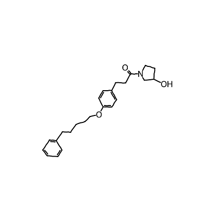 O=C(CCc1ccc(OCCCCCc2ccccc2)cc1)N1CCC(O)C1